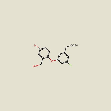 CCOC(=O)Cc1cc(F)cc(Oc2ccc(Br)cc2CO)c1